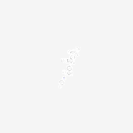 CN(C)CCN(C)c1cc2nc(-c3ccc(NC(=O)/C=C/c4ccc(F)cc4)cc3)n(O)c2cc1[N+](=O)[O-]